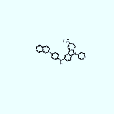 Cc1ccc2c(c1)c1cc(Nc3ccc(-c4ccc5ccccc5c4)cc3)ccc1n2-c1ccccc1